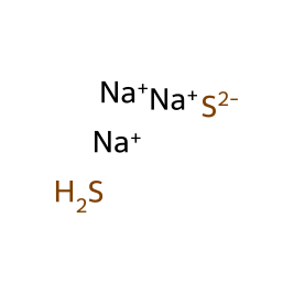 S.[Na+].[Na+].[Na+].[S-2]